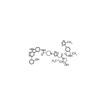 Cc1ncsc1-c1ccc([C@H](C)NC(=O)[C@@H]2C[C@@H](O)CN2C(=O)[C@@H](c2cc(N3CCC(C(=O)Nc4ccc5[nH]c6nnc(-c7ccccc7O)cc6c5c4)CC3)no2)C(C)C)cc1